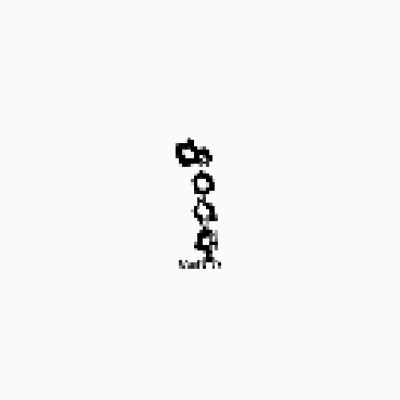 CNC(=O)c1ccc(N2CCN([C@H]3CC[C@@H](n4ccc5c(F)cccc54)CC3)CC2)nn1